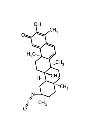 CC1=C(O)C(=O)C=C2C1=CC=C1[C@@]2(C)CC[C@@]2(C)[C@@H]3C[C@](C)(N=C=O)CC[C@]3(C)CC[C@]12C